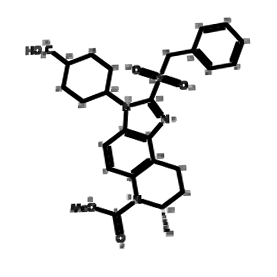 COC(=O)N1c2ccc3c(nc(S(=O)(=O)Cc4ccccc4)n3C3CCC(C(=O)O)CC3)c2CC[C@@H]1C